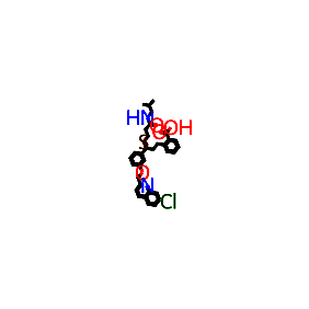 CC(C)CNC(=O)CCSC(CCc1ccccc1C(=O)O)c1cccc(OCc2ccc3ccc(Cl)cc3n2)c1